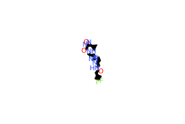 O=C(CC1CC(F)(F)C1)NCc1ccn2cc(CNC(=O)c3nonc3C3CC3)nc2n1